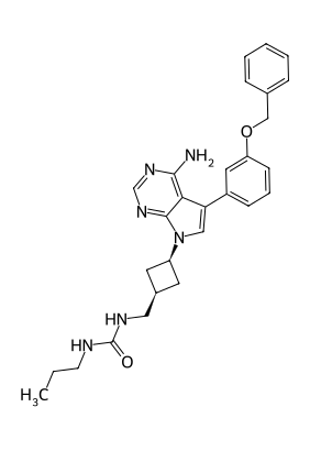 CCCNC(=O)NC[C@H]1C[C@@H](n2cc(-c3cccc(OCc4ccccc4)c3)c3c(N)ncnc32)C1